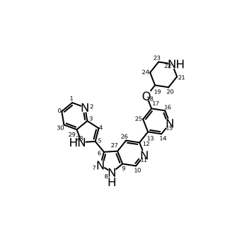 c1cnc2cc(-c3n[nH]c4cnc(-c5cncc(OC6CCNCC6)c5)cc34)[nH]c2c1